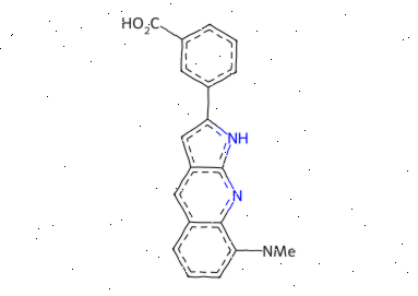 CNc1cccc2cc3cc(-c4cccc(C(=O)O)c4)[nH]c3nc12